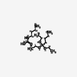 CCO[N+](CCC[SiH3])(OCC)OCC.O=C(O)NCCC[SiH3]